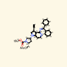 C#Cc1cn([C@H]2C[C@H](COC)N(C(=O)OC(C)(C)C)C2)c2ccnc(N=C(c3ccccc3)c3ccccc3)c12